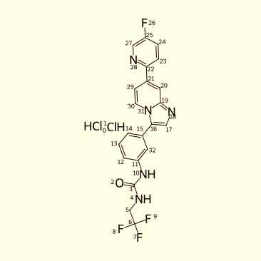 Cl.Cl.O=C(NCC(F)(F)F)Nc1cccc(-c2cnc3cc(-c4ccc(F)cn4)ccn23)c1